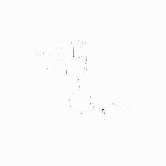 COc1ncc(C2CCCN(C(=O)OC(C)(C)C)C2)cc1S(C)(=O)=O